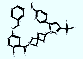 COc1ccc(-c2cc(C(F)(F)F)nn2C2CC3(C2)CN(C(=O)c2cc(OCc4ccccc4)ccc2F)C3)cn1